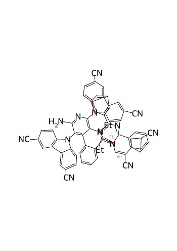 CC/C(=C\C=C(\C#N)C1CC(C#N)C1)N(CC)c1c(-n2c3ccc(C#N)cc3c3cc(C#N)ccc32)nc(N)c(-n2c3ccc(C#N)cc3c3cc(C#N)ccc32)c1-c1ccccc1-c1nc(-c2ccccc2)nc(-c2ccccc2)n1